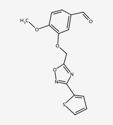 COc1ccc(C=O)cc1OCc1nc(-c2cccs2)no1